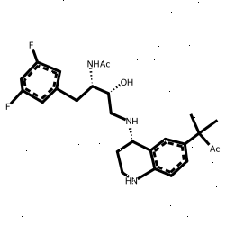 CC(=O)N[C@@H](Cc1cc(F)cc(F)c1)[C@H](O)CN[C@H]1CCNc2ccc(C(C)(C)C(C)=O)cc21